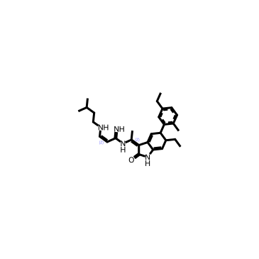 CCc1ccc(C)c(C2C=C3C(=CC2CC)NC(=O)/C3=C(/C)NC(=N)/C=C\NCCC(C)C)c1